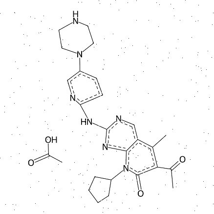 CC(=O)O.CC(=O)c1c(C)c2cnc(Nc3ccc(N4CCNCC4)cn3)nc2n(C2CCCC2)c1=O